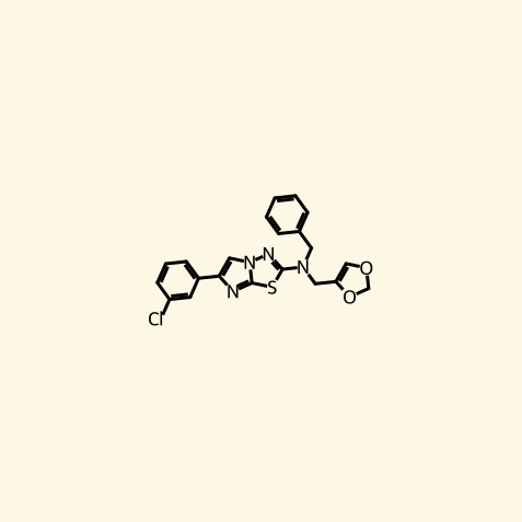 Clc1cccc(-c2cn3nc(N(CC4=COCO4)Cc4ccccc4)sc3n2)c1